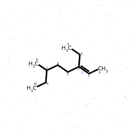 C/C=C(\CC)CCC(C)CC